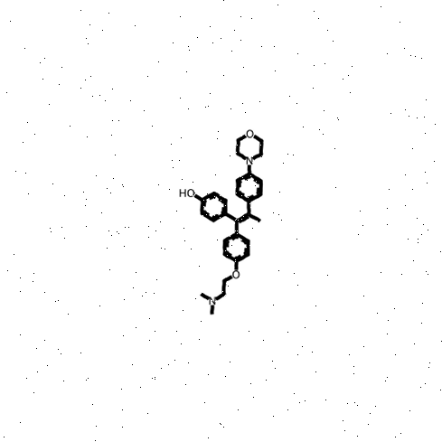 CC(=C(c1ccc(O)cc1)c1ccc(OCCN(C)C)cc1)c1ccc(N2CCOCC2)cc1